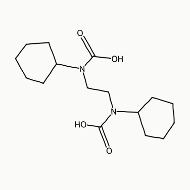 O=C(O)N(CCN(C(=O)O)C1CCCCC1)C1CCCCC1